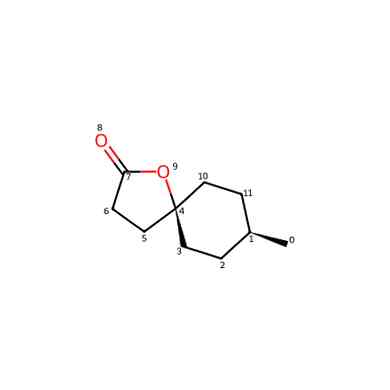 C[C@H]1CC[C@]2(CCC(=O)O2)CC1